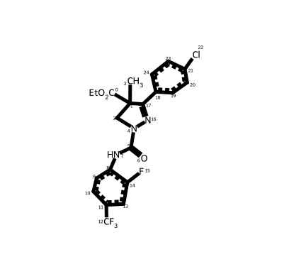 CCOC(=O)C1(C)CN(C(=O)Nc2ccc(C(F)(F)F)cc2F)N=C1c1ccc(Cl)cc1